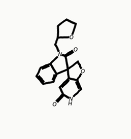 O=C1N(CC2CCCO2)c2ccccc2C12COc1c[nH]c(=O)cc12